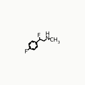 CNCC(F)c1ccc(F)cc1